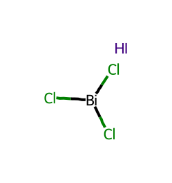 I.[Cl][Bi]([Cl])[Cl]